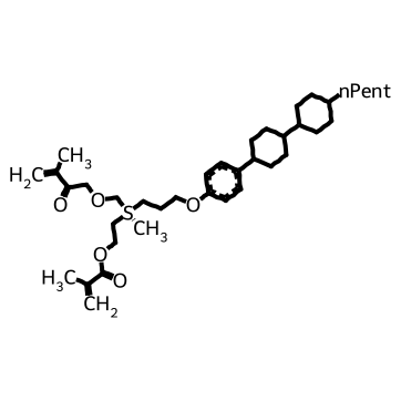 C=C(C)C(=O)COCS(C)(CCCOc1ccc(C2CCC(C3CCC(CCCCC)CC3)CC2)cc1)CCOC(=O)C(=C)C